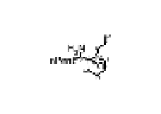 C=CCN1CC2CCC1(C(N)CCCCC)CC2